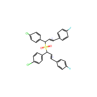 O=S(=O)(C(/C=C/c1ccc(F)cc1)c1ccc(Cl)cc1)C(/C=C/c1ccc(F)cc1)c1ccc(Cl)cc1